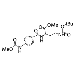 COC(=O)Nc1ccc(C(=O)NC(CCNC(=O)OC(C)(C)C)C(=O)OC)cc1